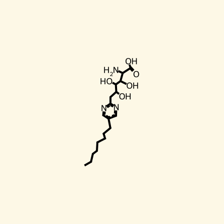 CCCCCCCCc1cnc(CC(O)C(O)C(O)C(N)C(=O)O)nc1